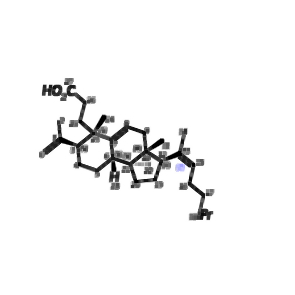 C=C(C)[C@@H]1CC[C@@H]2C(=CC[C@]3(C)[C@@H](/C(C)=C\CCC(C)C)CC[C@@]23C)[C@@]1(C)CCC(=O)O